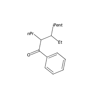 CCCC(C)C(CC)C(CCC)C(=O)c1ccccc1